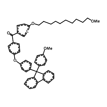 COCCCCCCCCCCOc1ccc(C(=O)c2ccc(Oc3ccc(C4(c5ccc(OC)cc5)c5ccccc5-c5ccccc54)cc3)cc2)cc1